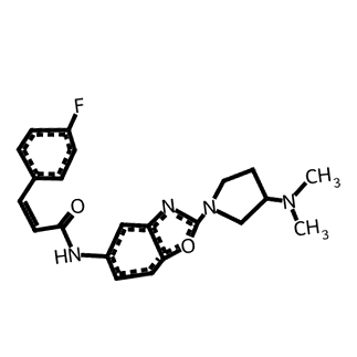 CN(C)C1CCN(c2nc3cc(NC(=O)/C=C\c4ccc(F)cc4)ccc3o2)C1